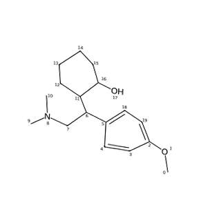 COc1ccc(C(CN(C)C)C2CCCCC2O)cc1